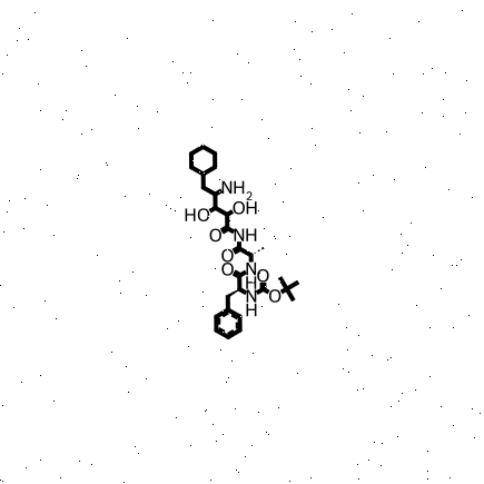 C[C@H](NC(=O)[C@H](Cc1ccccc1)NC(=O)OC(C)(C)C)C(=O)NC(=O)C(O)C(O)C(N)CC1CCCCC1